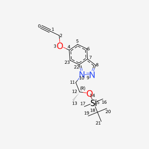 C#CCOc1ccc2cnn(C[C@@H](C)O[Si](C)(C)C(C)(C)C)c2c1